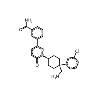 NC[C@]1(c2cccc(Cl)c2)CC[C@H](n2nc(-c3cccc(C(N)=O)c3)ccc2=O)CC1